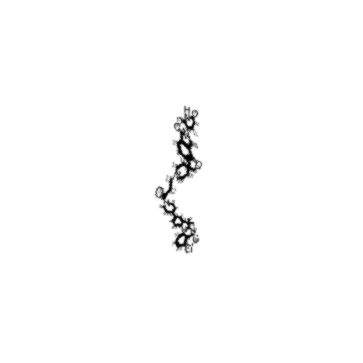 CC1(C)c2cc(C3CCN(C(=O)CCN4CCC5(CC4)COc4c5ccc5c4CN([C@H]4CCC(=O)NC4=O)C5=O)CC3)ccc2-n2c1nc(=O)c1c(Cl)cccc12